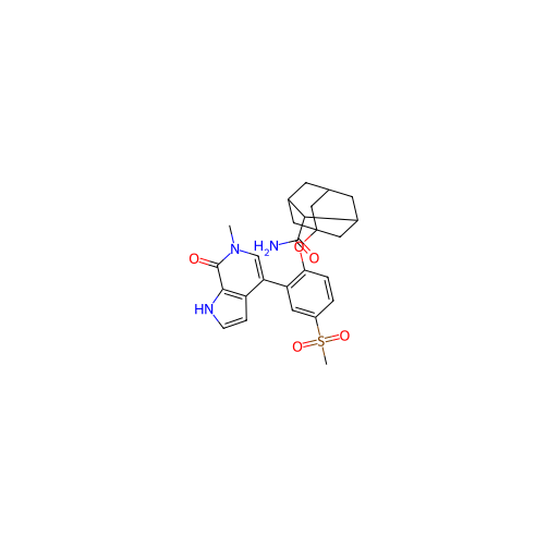 Cn1cc(-c2cc(S(C)(=O)=O)ccc2OC23CC4CC(C2)C(C(N)=O)C(C4)C3)c2cc[nH]c2c1=O